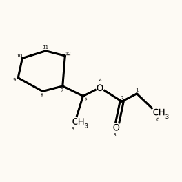 CCC(=O)OC(C)C1CCCCC1